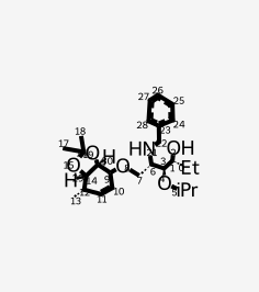 CC[C@@H](O)[C@@H](OC(C)C)[C@H](COC1C=C[C@H](C)[C@@H]2OC(C)(C)O[C@@H]12)NCc1ccccc1